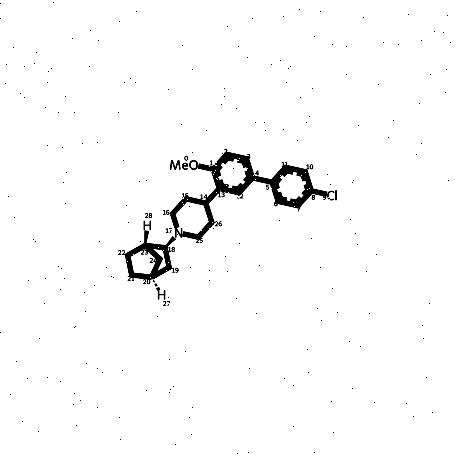 COc1ccc(-c2ccc(Cl)cc2)cc1C1CCN([C@H]2C[C@H]3CC[C@H]2C3)CC1